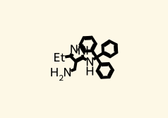 CCc1n[nH]c(NC(c2ccccc2)(c2ccccc2)c2ccccc2)c1CN